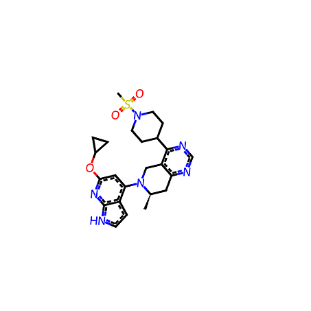 C[C@@H]1Cc2ncnc(C3CCN(S(C)(=O)=O)CC3)c2CN1c1cc(OC2CC2)nc2[nH]ccc12